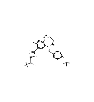 NC(c1nc(-c2cc3c(cc2F)S(=O)(=O)C[C@H](N)C(=O)N3Cc2ccc(OC(F)(F)F)cc2)no1)C(F)(F)F